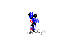 CCCC(C(=O)O)c1nc(-c2ncc(NC(=O)Nc3cnc4ccnn4c3C3CCCC3)cc2C)no1